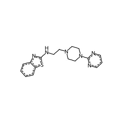 c1cnc(N2CCN(CCNc3nc4ccccc4s3)CC2)nc1